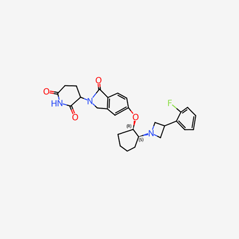 O=C1CCC(N2Cc3cc(O[C@@H]4CCCC[C@@H]4N4CC(c5ccccc5F)C4)ccc3C2=O)C(=O)N1